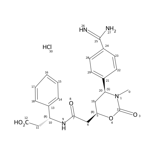 CN1C(=O)O[C@@H](CC(=O)N[C@H](CC(=O)O)c2ccccc2)C[C@H]1c1ccc(C(=N)N)cc1.Cl